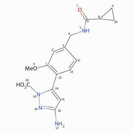 COc1cc(CNC(=O)C2CC2)ccc1-c1cc(N)nn1C(=O)O